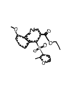 CCOC(=O)c1cnc2c(OC)cccc2c1S(=O)(=O)c1ccoc1C